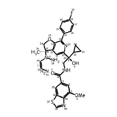 COc1cc(C(=O)NC[C@](O)(c2cc3c(c(-c4ccc(F)cc4)n2)OC[C@]3(C)N(N)/C=C\N)C2CC2)cc2scnc12